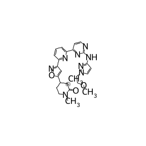 COCCn1ccc(Nc2nccc(-c3cccc(-c4cc(C5CCN(C)C(=O)[C@H]5C)on4)n3)n2)n1